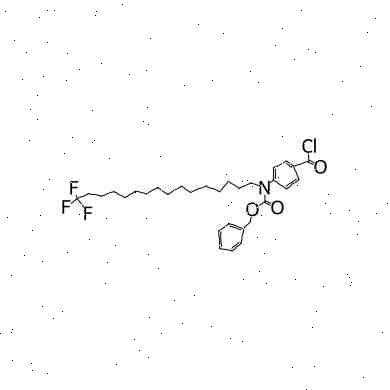 O=C(Cl)c1ccc(N(CCCCCCCCCCCCCCCC(F)(F)F)C(=O)OCc2ccccc2)cc1